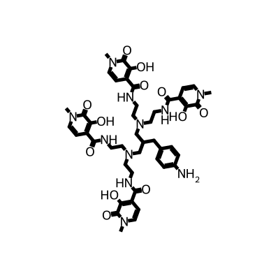 Cn1ccc(C(=O)NCCN(CCNC(=O)c2ccn(C)c(=O)c2O)CC(Cc2ccc(N)cc2)CN(CCNC(=O)c2ccn(C)c(=O)c2O)CCNC(=O)c2ccn(C)c(=O)c2O)c(O)c1=O